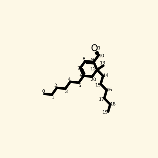 CCCCCCC1=CC=C(C=O)C(C)(CCCCCC)C1